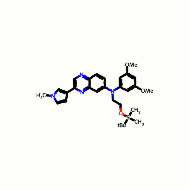 COc1cc(OC)cc(N(CCO[Si](C)(C)C(C)(C)C)c2ccc3ncc(-c4ccn(C)c4)nc3c2)c1